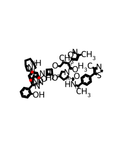 Cc1cc([C@@H](C(=O)N2C[C@H](O)C[C@H]2C(=O)N[C@@H](C)c2ccc(-c3scnc3C)cc2)[C@@H](C)COC2CC(Oc3cc(N4C5CC[C@H]4CN(c4cc(-c6ccccc6O)nnc4N)C5)ccn3)C2)on1